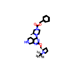 [2H]C([2H])([2H])N1CCC[C@H]1COc1nc2c(c(N3CCN(C(=O)OCc4ccccc4)C[C@@H]3C)n1)CCNC2